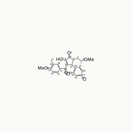 COCCC1C(=O)C(O)=C(C(=O)c2ccc(OC)c(C)c2)C1c1ccc(Cl)cc1Cl